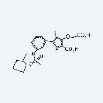 Cc1c(-c2cccc(N(CC3CCCCC3)S(C)(=O)=O)c2)sc(C(=O)O)c1OCC(=O)O